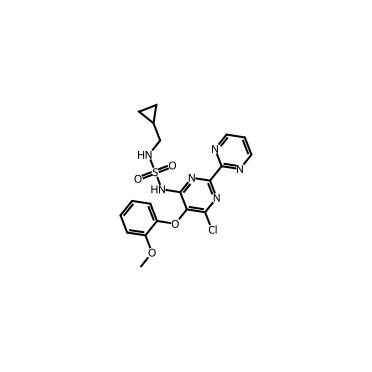 COc1ccccc1Oc1c(Cl)nc(-c2ncccn2)nc1NS(=O)(=O)NCC1CC1